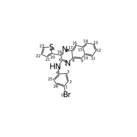 Brc1ccc(Nc2nc3cc4ccccc4cc3nc2-c2cccs2)cc1